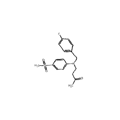 CC(=O)CCN(Cc1ccc(F)cc1)c1ccc(S(C)(=O)=O)cc1